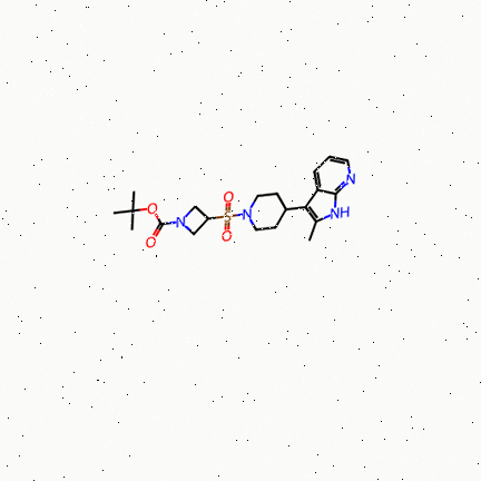 Cc1[nH]c2ncccc2c1C1CCN(S(=O)(=O)C2CN(C(=O)OC(C)(C)C)C2)CC1